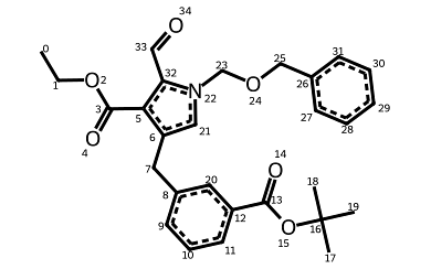 CCOC(=O)c1c(Cc2cccc(C(=O)OC(C)(C)C)c2)cn(COCc2ccccc2)c1C=O